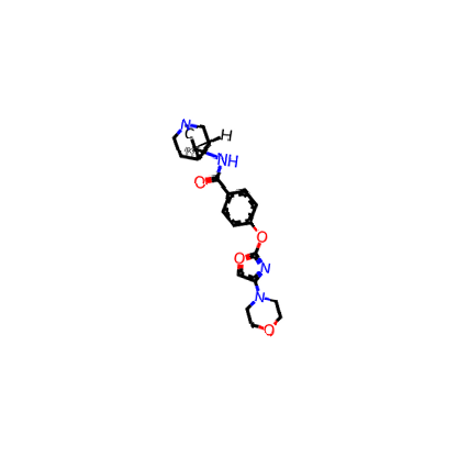 O=C(N[C@H]1CN2CCC1CC2)c1ccc(Oc2nc(N3CCOCC3)co2)cc1